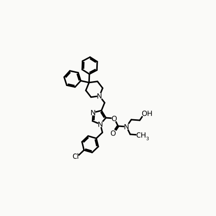 CCN(CCO)C(=O)Oc1c(CN2CCC(c3ccccc3)(c3ccccc3)CC2)ncn1Cc1ccc(Cl)cc1